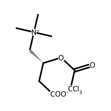 C[N+](C)(C)C[C@@H](CC(=O)[O-])OC(=O)C(Cl)(Cl)Cl